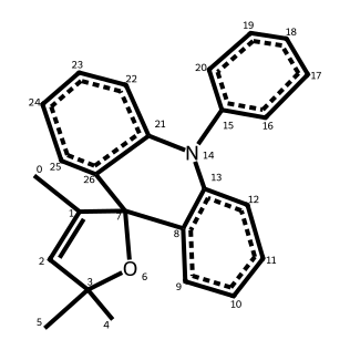 CC1=CC(C)(C)OC12c1ccccc1N(c1ccccc1)c1ccccc12